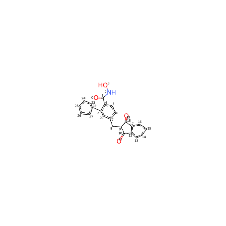 O=C(NO)c1ccc(CC2C(=O)c3ccccc3C2=O)cc1-c1ccccc1